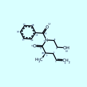 C=CC[C@@H](C)C(=O)N(CCO)C(=O)c1ccccc1